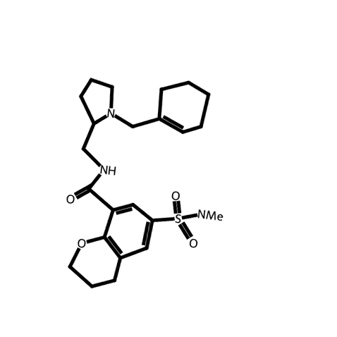 CNS(=O)(=O)c1cc2c(c(C(=O)NCC3CCCN3CC3=CCCCC3)c1)OCCC2